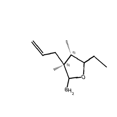 BC1OC(CC)[C@@H](C)[C@]1(C)CC=C